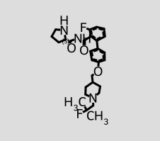 CC(C)(F)CN1CCC(COc2ccc(-c3cccc(F)c3C(=O)NC(=O)[C@@H]3CCCN3)cc2)CC1